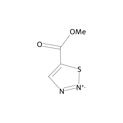 COC(=O)C1=CN=[N+]S1